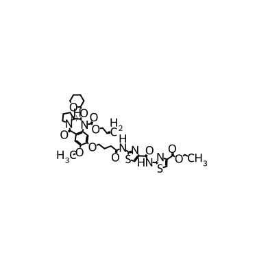 C=CCOC(=O)N1c2cc(OCCCC(=O)Nc3nc(C(=O)Nc4nc(C(=O)OCC)cs4)cs3)c(OC)cc2C(=O)N2CCC[C@H]2C1OC1CCCCO1